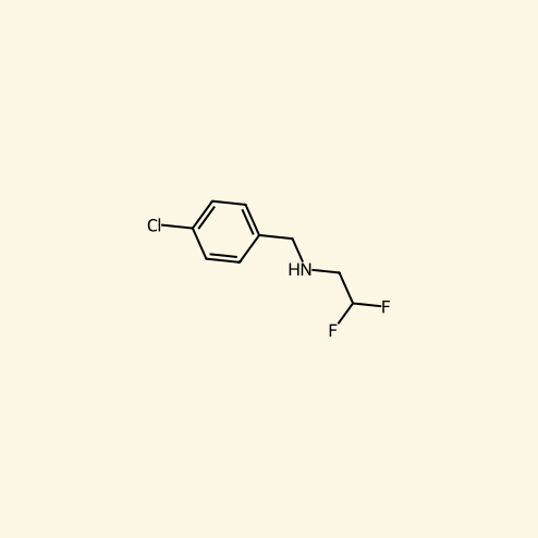 FC(F)CNCc1ccc(Cl)cc1